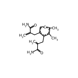 C=C(Cc1ccc(C)c(C)c1CC(=C)C(N)=O)C(N)=O